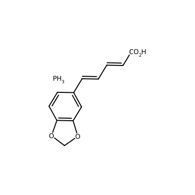 O=C(O)C=CC=Cc1ccc2c(c1)OCO2.P